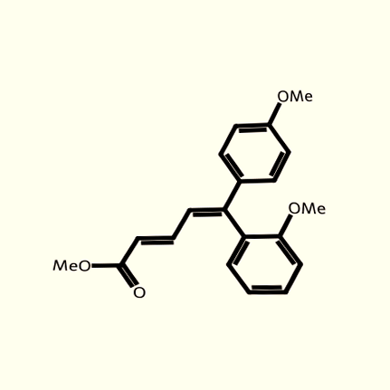 COC(=O)C=CC=C(c1ccc(OC)cc1)c1ccccc1OC